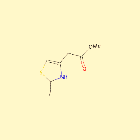 COC(=O)CC1=CSC(C)N1